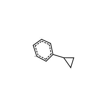 [c]1cccc(C2CC2)c1